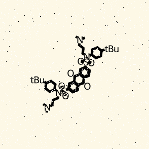 CN(C)CCCN(C1CCC(C(C)(C)C)CC1)S(=O)(=O)c1ccc2c(c1)C(=O)c1cc(S(=O)(=O)N(CCCN(C)C)C3CCC(C(C)(C)C)CC3)ccc1C2=O